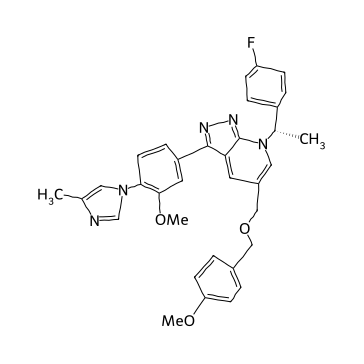 COc1ccc(COCc2cc3c(-c4ccc(-n5cnc(C)c5)c(OC)c4)nnc-3n([C@@H](C)c3ccc(F)cc3)c2)cc1